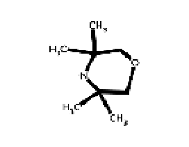 CC1(C)COCC(C)(C)[N]1